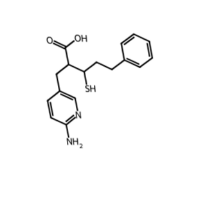 Nc1ccc(CC(C(=O)O)C(S)CCc2ccccc2)cn1